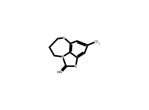 N=c1sc2cc(C(F)(F)F)cc3c2n1CCCS3